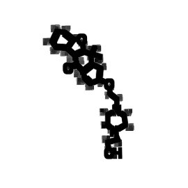 CC1(C)c2cc(OCCN3CCN(CCO)CC3)ccc2C(=O)c2c1oc1ccccc21